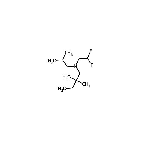 CCC(C)(C)CN(CC(C)C)CC(F)F